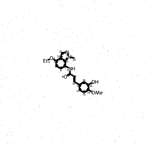 CCOc1ccc(NC(=O)C=Cc2ccc(OC)c(O)c2)c2c1cnn2C